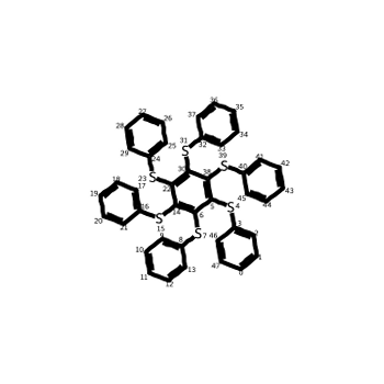 c1ccc(Sc2c(Sc3ccccc3)c(Sc3ccccc3)c(Sc3ccccc3)c(Sc3ccccc3)c2Sc2ccccc2)cc1